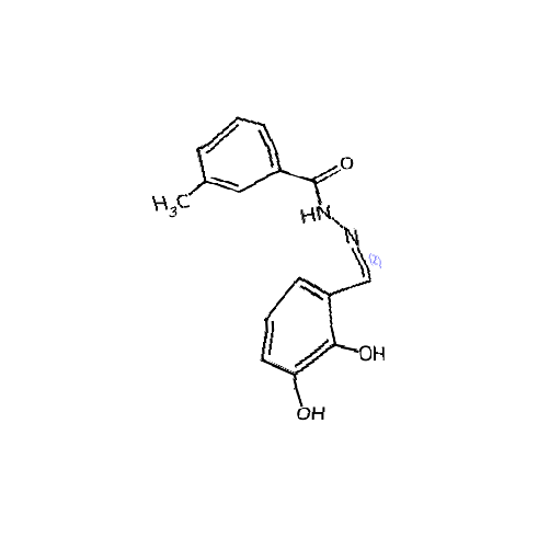 Cc1cccc(C(=O)N/N=C\c2cccc(O)c2O)c1